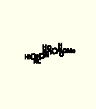 COC(=O)NC1CCC(C)(C(=O)c2nc3cc(C#N)c(N4CCNCC4C)cc3[nH]2)CC1